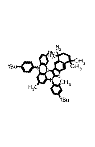 Cc1cc2c3c(c1)N(c1ccc(C(C)(C)C)cc1C)c1sc4cc5c(cc4c1B3c1cc(C(C)(C)C)ccc1N2c1ccc(C(C)(C)C)cc1)C(C)(C)CCC5(C)C